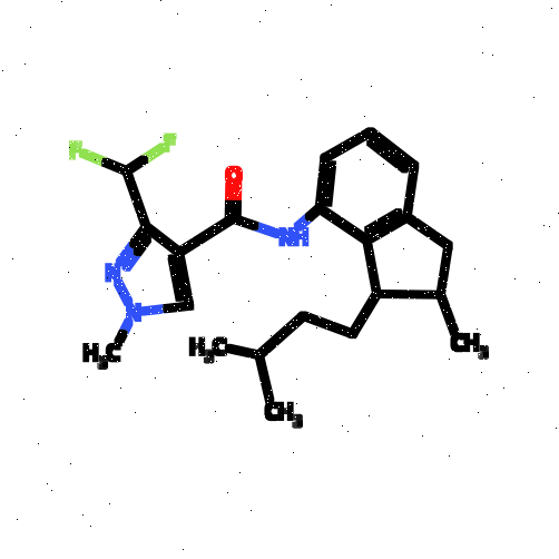 CC(C)CCC1c2c(cccc2NC(=O)c2cn(C)nc2C(F)F)CC1C